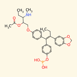 CCC(=C(c1ccc(OCC(OC(C)=O)C(CC)NC)cc1)c1ccc(OP(O)O)cc1)c1ccc2c(c1)OCO2